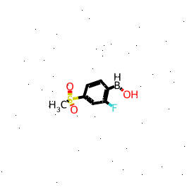 CS(=O)(=O)c1ccc(BO)c(F)c1